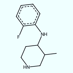 CC1CNCCC1Nc1ccccc1F